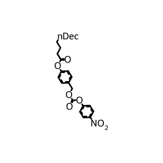 CCCCCCCCCCCCCC(=O)Oc1ccc(COC(=O)Oc2ccc([N+](=O)[O-])cc2)cc1